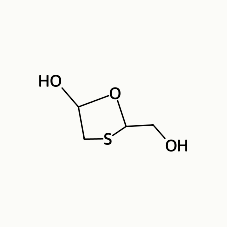 OCC1OC(O)CS1